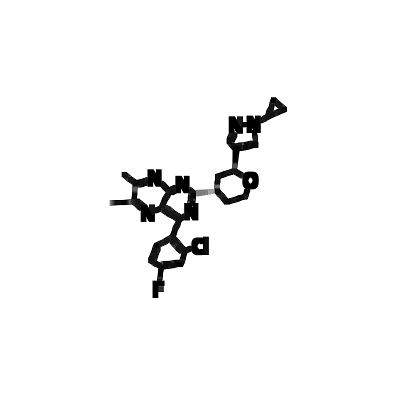 Cc1nc2nc([C@H]3CCO[C@H](c4cnn(C5CC5)c4)C3)nc(-c3ccc(F)cc3Cl)c2nc1C